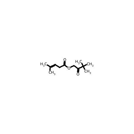 CC(C)=CCC(=O)OCC(=O)C(C)(C)C